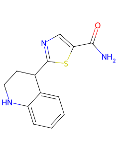 NC(=O)c1cnc(C2CCNc3ccccc32)s1